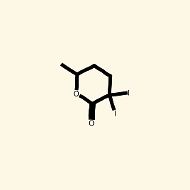 CC1CCC(I)(I)C(=O)O1